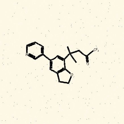 CC(C)(CC(=O)C(F)(F)F)c1cc(-c2cccnc2)cc2c1OCC2